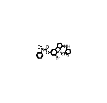 CCN(C(=O)OC1=CC2C3CCC(NC4CCCC4)C3N(C)C2C(Br)=C1)c1ccccc1